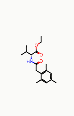 CCOC(=O)[C@@H](NC(=O)Cc1c(C)cc(C)cc1C)C(C)C